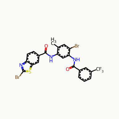 Cc1cc(Br)c(NC(=O)c2cccc(C(F)(F)F)c2)cc1NC(=O)c1ccc2nc(Br)sc2c1